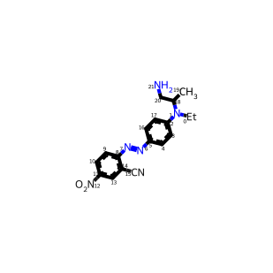 CCN(c1ccc(N=Nc2ccc([N+](=O)[O-])cc2C#N)cc1)C(C)CN